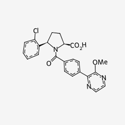 COc1nccnc1-c1ccc(C(=O)N2[C@@H](c3ccccc3Cl)CC[C@H]2C(=O)O)cc1